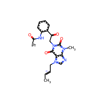 C/C=C/Cn1cnc2c1c(=O)n(CC(=O)c1ccccc1NC(=O)C(C)C)c(=O)n2C